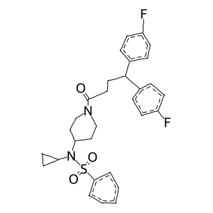 O=C(CCC(c1ccc(F)cc1)c1ccc(F)cc1)N1CCC(N(C2CC2)S(=O)(=O)c2ccccc2)CC1